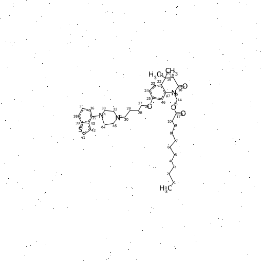 CCCCCCCCCCCC(=O)OCN1C(=O)CC(C)(C)c2ccc(OCCCCN3CCN(c4cccc5sccc45)CC3)cc21